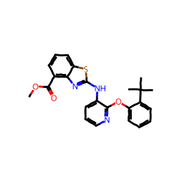 COC(=O)c1cccc2sc(Nc3cccnc3Oc3ccccc3C(C)(C)C)nc12